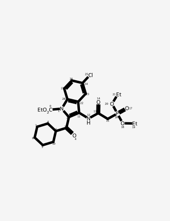 CCOC(=O)n1c(C(=O)C2CCCCC2)c(NC(=O)CP(=O)(OCC)OCC)c2cc(Cl)ccc21